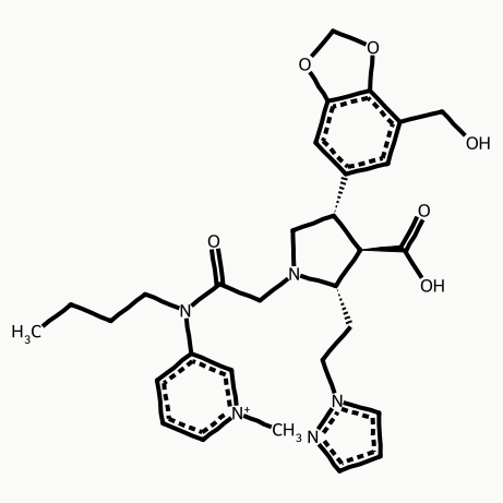 CCCCN(C(=O)CN1C[C@H](c2cc(CO)c3c(c2)OCO3)[C@@H](C(=O)O)[C@@H]1CCn1cccn1)c1ccc[n+](C)c1